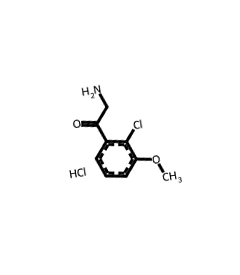 COc1cccc(C(=O)CN)c1Cl.Cl